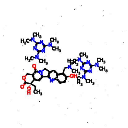 CC[C@@]1(O)C(=O)OCc2c1cc1n(c2=O)Cc2cc3c(CN(C)C)c(O)ccc3nc2-1.CN(C)c1nc(N(C)C)nc(N(C)C)n1.CN(C)c1nc(N(C)C)nc(N(C)C)n1